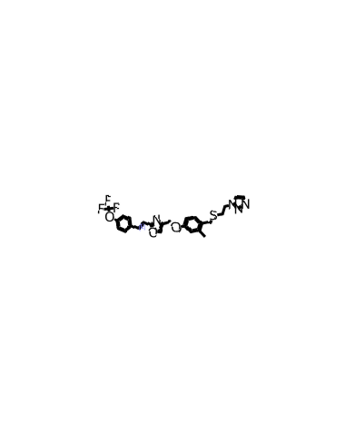 Cc1cc(OCc2coc(/C=C/c3ccc(OC(F)(F)F)cc3)n2)ccc1CSCCn1ccnn1